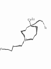 CC1(CO)CCN(CCCF)CC1